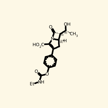 CCNC(=O)Oc1ccc(C2=C(C(=O)O)N3C(=O)[C@H]([C@@H](C)O)[C@H]3C2)cc1